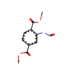 COC(=O)c1ccc(C(=O)OC)c(NC=O)c1